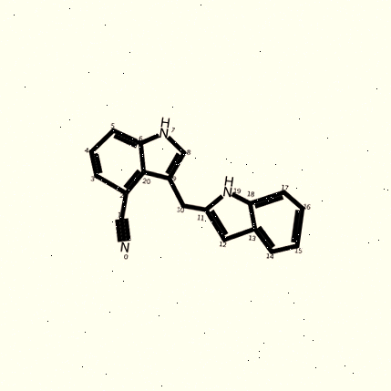 N#Cc1cccc2[nH]cc(Cc3cc4ccccc4[nH]3)c12